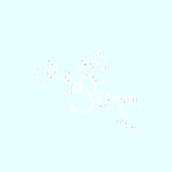 CNCCN(C)Cc1cccc(C2Nc3c(cnn3C(C)C)C(C(=O)NCc3cnc4ccccn34)C23CCCCCCCC3)c1